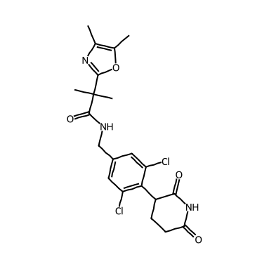 Cc1nc(C(C)(C)C(=O)NCc2cc(Cl)c(C3CCC(=O)NC3=O)c(Cl)c2)oc1C